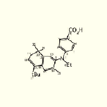 CCN(c1ccc(C(=O)O)cc1)c1cc2c(cc1C)C(C(C)(C)C)=CCC2(C)C